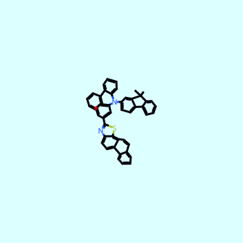 CC1(C)c2ccccc2-c2ccc(N(c3cccc(-c4nc5ccc6c7ccccc7ccc6c5s4)c3)c3ccccc3-c3ccccc3)cc21